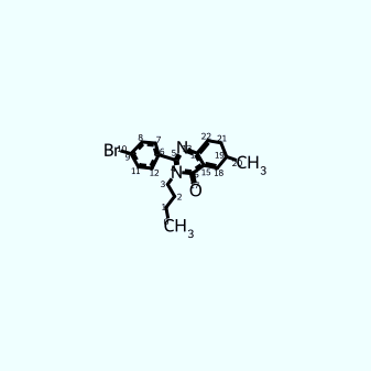 CCCCn1c(-c2ccc(Br)cc2)nc2c(c1=O)=CC(C)CC=2